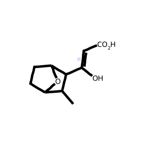 CC1C2CCC(O2)C1/C(O)=C/C(=O)O